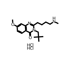 CNCCCCc1nc2cc(OC)ccc2c(=O)n1CC(C)(C)C.Cl.Cl